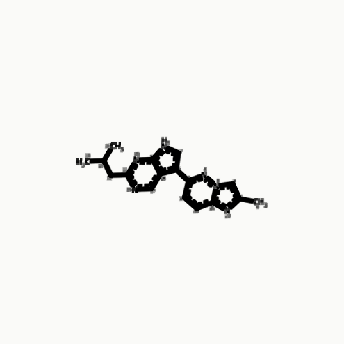 Cc1cn2nc(-c3c[nH]c4nc(CC(C)C)ncc34)ccc2n1